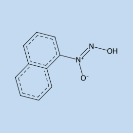 [O-][N+](=NO)c1cccc2ccccc12